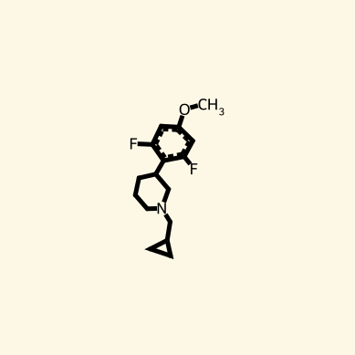 COc1cc(F)c(C2CCCN(CC3CC3)C2)c(F)c1